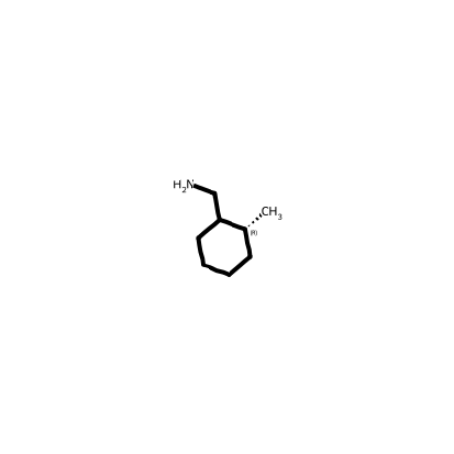 C[C@@H]1CCCCC1CN